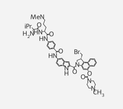 CNCCCC(NC(=O)C(N)C(C)C)C(=O)Nc1ccc(C(=O)Nc2ccc3[nH]c(C(=O)N4C[C@@H](CBr)c5c4cc(OC(=O)N4CCN(C)CC4)c4ccccc54)cc3c2)cc1